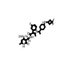 [2H]C([2H])(NC(=O)c1c(C)n(C(C)C2CCC(NC3CC(F)(F)C3)CC2)c2ccc(F)cc12)c1c(SC)cc(C)[nH]c1=O